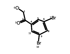 [O]CC(=O)c1cc(Br)cc(Br)c1